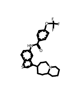 O=C(Nc1ccc2scc(C3CCC4CCCCN4CC3)c2c1)c1ccc(OC(F)(F)F)cc1